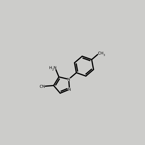 [C-]#[N+]c1cnn(-c2ccc(C)cc2)c1N